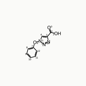 O=C(O)c1cn(Oc2ccccc2)nn1